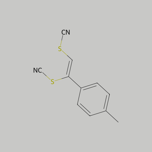 Cc1ccc(C(=CSC#N)SC#N)cc1